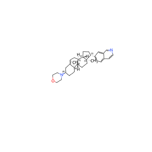 C[C@]12CC[C@H]3[C@@H](CC=C4C[C@H](N5CCOCC5)CC[C@@]43C)[C@@H]1CC[C@@H]2c1ccc2ccncc2c1